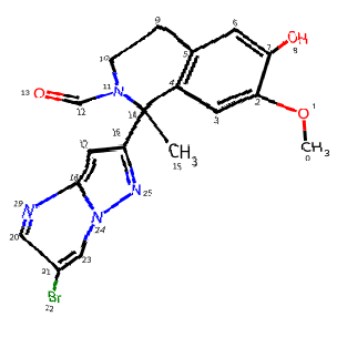 COc1cc2c(cc1O)CCN(C=O)C2(C)c1cc2ncc(Br)cn2n1